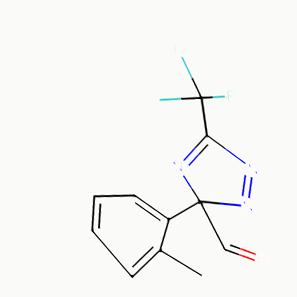 Cc1ccccc1C1(C=O)N=NC(C(F)(F)F)=N1